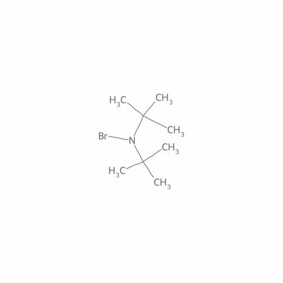 CC(C)(C)N(Br)C(C)(C)C